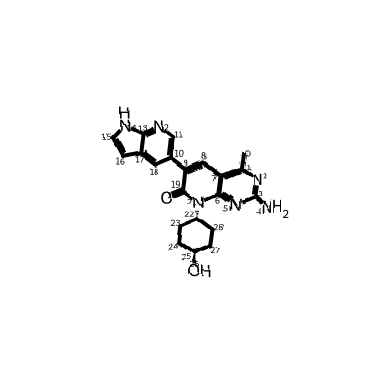 Cc1nc(N)nc2c1cc(-c1cnc3[nH]ccc3c1)c(=O)n2[C@H]1CC[C@H](O)CC1